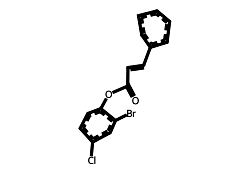 O=C(C=Cc1ccccc1)Oc1ccc(Cl)cc1Br